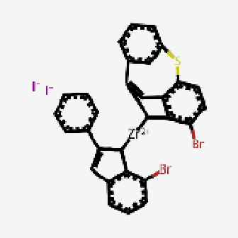 Brc1cccc2c1[CH]([Zr+2][CH]1C3=Cc4c(ccc(Br)c41)Sc1cccc3c1)C(c1ccccc1)=C2.[I-].[I-]